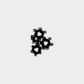 Br[CH2][Sn]([c]1ccccc1)([c]1ccccc1)[c]1ccccc1